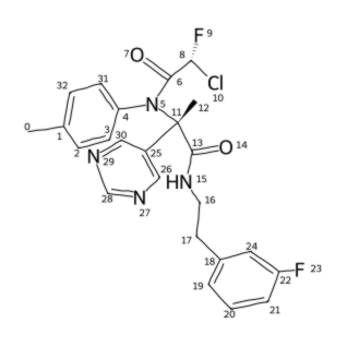 Cc1ccc(N(C(=O)[C@H](F)Cl)[C@](C)(C(=O)NCCc2cccc(F)c2)c2cncnc2)cc1